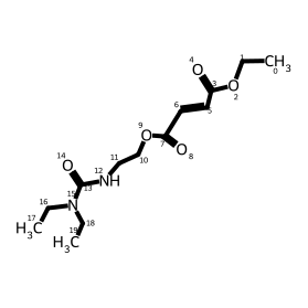 CCOC(=O)/C=C/C(=O)OCCNC(=O)N(CC)CC